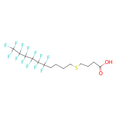 O=C(O)CCCSCCCCC(F)(F)C(F)(F)C(F)(F)C(F)(F)C(F)(F)C(F)(F)F